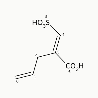 C=CCC(=CS(=O)(=O)O)C(=O)O